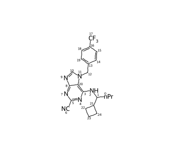 CCCC(Nc1nc(C#N)nc2ncn(Cc3ccc(C(F)(F)F)cc3)c12)C1CCC1